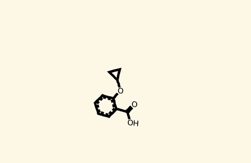 O=C(O)c1ccccc1OC1CC1